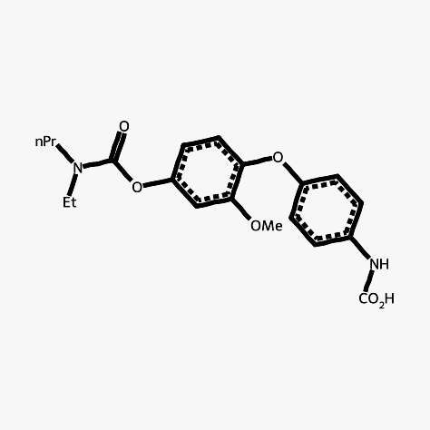 CCCN(CC)C(=O)Oc1ccc(Oc2ccc(NC(=O)O)cc2)c(OC)c1